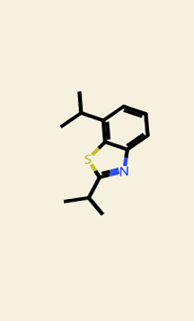 CC(C)c1nc2cccc(C(C)C)c2s1